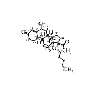 CCCCCO[C@]1(C(C)=O)CC[C@H]2[C@@H]3C=C(C)C4=CC(=O)CC[C@]4(C)[C@H]3CC[C@@]21C